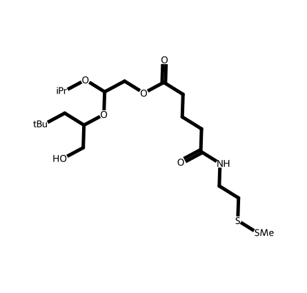 CSSCCNC(=O)CCCC(=O)OCC(OC(C)C)OC(CO)CC(C)(C)C